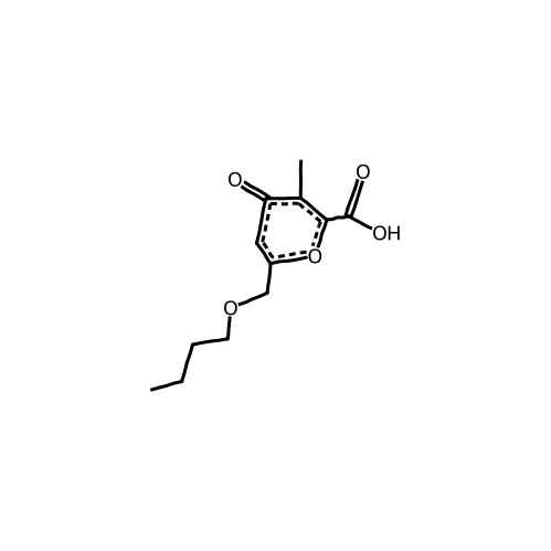 CCCCOCc1cc(=O)c(C)c(C(=O)O)o1